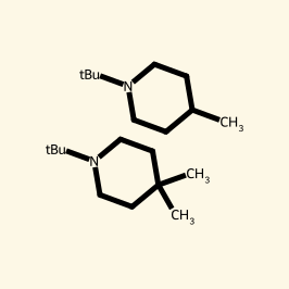 CC1(C)CCN(C(C)(C)C)CC1.CC1CCN(C(C)(C)C)CC1